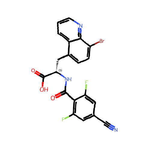 N#Cc1cc(F)c(C(=O)N[C@@H](Cc2ccc(Br)c3ncccc23)C(=O)O)c(F)c1